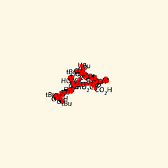 CC(C)(C)OC(=O)N=C(NC(=O)OC(C)(C)C)Nc1ccc(C(=O)Oc2ccc(CN(C(=O)OCc3ccccc3)S(=O)(=O)N(CCOCCOCCN(C(CCC(=O)O)C(=O)O)S(=O)(=O)N(Cc3ccc(OC(=O)c4ccc(NC(=NC(=O)OC(C)(C)C)NC(=O)OC(C)(C)C)cc4)cc3)C(=O)OCc3ccccc3)C(CCC(=O)O)C(=O)O)cc2)cc1